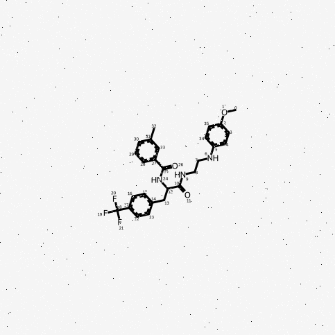 COc1ccc(NCCNC(=O)C(Cc2ccc(C(F)(F)F)cc2)NC(=O)c2cccc(C)c2)cc1